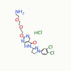 Cc1nc(OCCOCCOCCN)ncc1C(=O)NC1=NN(c2ccc(Cl)c(Cl)c2)CC1.Cl